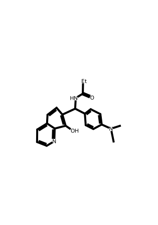 CCC(=O)NC(c1ccc(N(C)C)cc1)c1ccc2cccnc2c1O